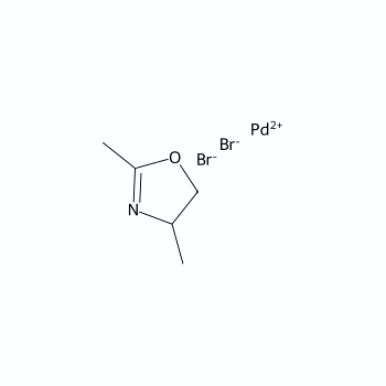 CC1=NC(C)CO1.[Br-].[Br-].[Pd+2]